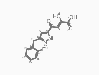 O=C(O)C(O)=CC(=O)c1cc(Cc2ccccc2F)n[nH]1